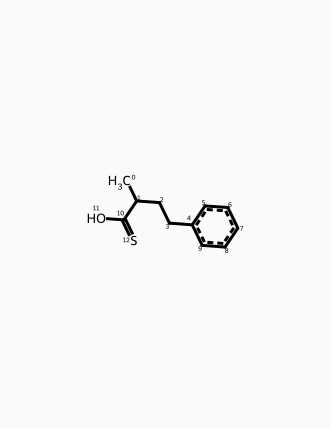 CC(CCc1ccccc1)C(O)=S